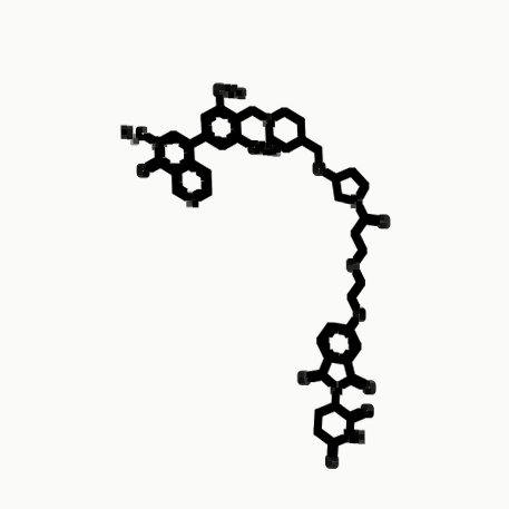 COc1cc(-c2cn(C)c(=O)c3cnccc23)cc(OC)c1CN1CCC(COC2CCN(C(=O)CCOCCOc3ccc4c(c3)C(=O)N(C3CCC(=O)NC3=O)C4=O)C2)CC1